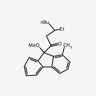 CCCCC(CC)CC(=O)C1(OC)c2ccccc2-c2cccc(C)c21